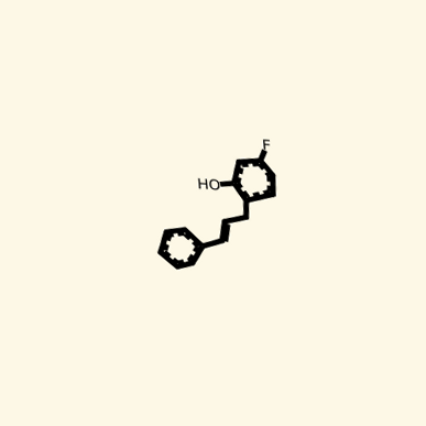 Oc1cc(F)ccc1C/C=C/c1ccccc1